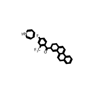 C1=CC=CNC=C1.O=C(c1ccc(F)cc1C(F)(F)F)C1C=c2c(ccc3c2=CCc2ccccc2-3)CC1